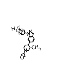 C[C@@H]1CN(C2COC2)CCC1c1ccc2cnn(-c3cnn(C)c3)c2c1